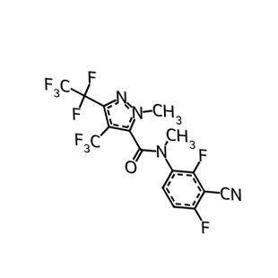 CN(C(=O)c1c(C(F)(F)F)c(C(F)(F)C(F)(F)F)nn1C)c1ccc(F)c(C#N)c1F